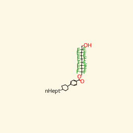 CCCCCCCC1CCC(c2ccc(C(=O)OCC(F)(F)C(F)(F)C(F)(F)C(F)(F)C(F)(F)C(F)(F)C(F)(F)C(F)(F)CO)cc2)CC1